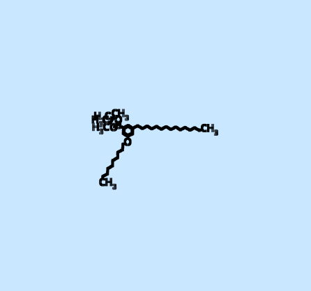 CCCCCCCCCCCCCCCc1cc(OCCCCCCCCCC)cc(B2OC(C)(C)C(C)(C)O2)c1